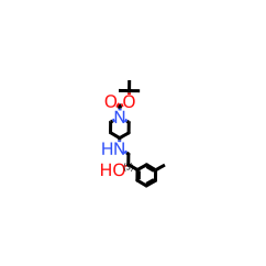 Cc1cccc([C@H](O)CNC2CCN(C(=O)OC(C)(C)C)CC2)c1